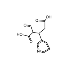 O=CC(C(=O)O)C(CC(=O)O)c1cccnc1